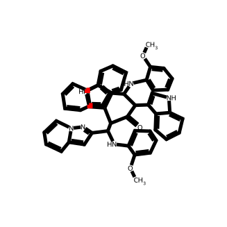 COc1ccccc1NC(c1cc2ccccn2n1)C(C(=O)C(c1c[nH]c2ccccc12)C(Nc1ccccc1OC)c1cc2ccccn2n1)c1c[nH]c2ccccc12